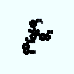 CC(=O)C[C@@H](CO)NC(=O)[C@@H]1C[C@@H](NC(=O)c2ccc3c(c2)B(O)OC3)CN1C(=O)c1ccc2c(c1)B(O)OC2